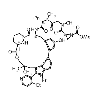 CCc1ccncc1-c1c2c3cc(ccc3n1CC)-c1cc(O)cc(c1)C[C@H](NC(=O)[C@H](C(C)C)N(C)C(=O)CN(C)C(=O)[C@@H]1CN1C(=O)OC)C(=O)N1CCC[C@H](N1)C(=O)OCC(C)(C)C2